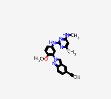 C#Cc1ccc2nn(-c3cc(Nc4nc(C)cc(NC)n4)ccc3OC)cc2c1